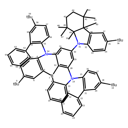 CC(C)(C)c1ccc2c(c1)B1c3ccccc3N(c3ccc(C(C)(C)C)cc3-c3ccccc3)c3cc(N4c5ccc(C(C)(C)C)cc5C5(C)C(C)(C)CCC(C)(C)C45C)cc(c31)N2c1ccc(C(C)(C)C)cc1-c1ccccc1